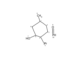 CC1CCC(C(C)C)C(O)C1.O=P